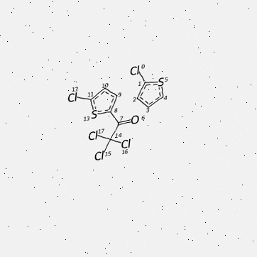 Clc1cccs1.O=C(c1ccc(Cl)s1)C(Cl)(Cl)Cl